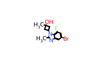 Cc1nc2cc(Br)cc(F)c2n1C1CC(C)(O)C1